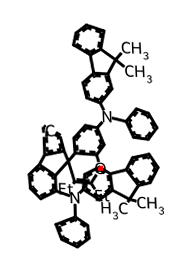 CCC1=C(CC)C2(c3ccc(N(c4ccccc4)c4ccc5c(c4)C(C)(C)c4ccccc4-5)cc3O1)c1ccccc1-c1cccc(N(c3ccccc3)c3ccc4c(c3)C(C)(C)c3ccccc3-4)c12